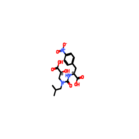 CC(C)CN(C[C@H](O)C(=O)O)C(=O)N[C@@H](Cc1ccc([N+](=O)[O-])cc1)C(=O)O